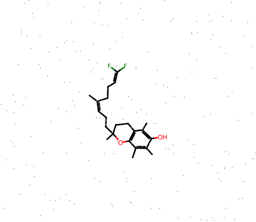 CC(=CCCC1(C)CCc2c(C)c(O)c(C)c(C)c2O1)CCC=C(F)F